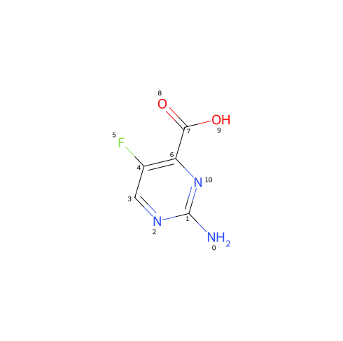 Nc1ncc(F)c(C(=O)O)n1